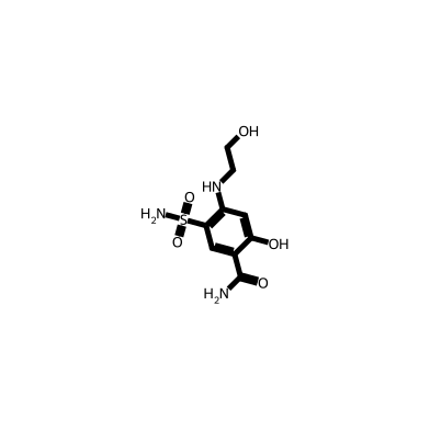 NC(=O)c1cc(S(N)(=O)=O)c(NCCO)cc1O